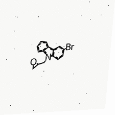 Brc1ccc2c(c1)c1ccccc1n2CC1CO1